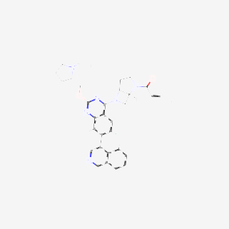 C=CC(=O)N1CCC2[C@H]1CN2c1nc(OC[C@@H]2CCCN2C)nc2c(F)c(-c3cncc4cccc(Cl)c34)c(F)cc12